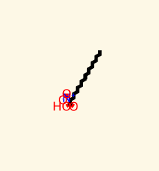 CCCCCCCCC=CCCCCCCC(C(=O)O)[N+](=O)[O-]